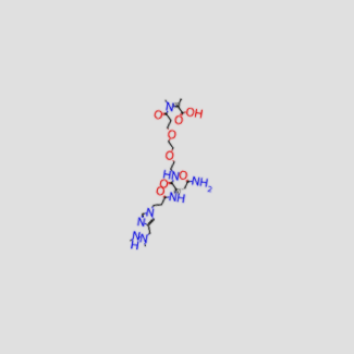 CNN(C)Cc1cn(CCC(=O)N[C@@H](CC(N)=O)C(=O)NCCOCCOCCC(=O)N(C)[C@@H](C)C(=O)O)cn1